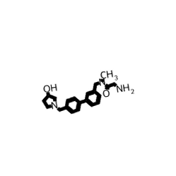 CN(Cc1cccc(-c2ccc(CN3CCC(O)C3)cc2)c1)C(=O)CN